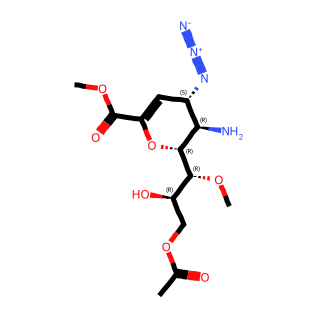 COC(=O)C1=C[C@H](N=[N+]=[N-])[C@@H](N)[C@H]([C@H](OC)[C@H](O)COC(C)=O)O1